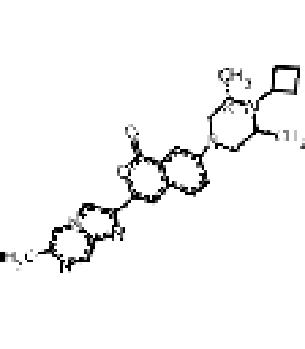 Cc1cn2cc(-c3cc4ccc(N5CC(C)N(C6CCC6)[C@@H](C)C5)cc4c(=O)o3)nc2cn1